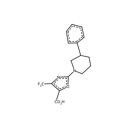 O=C(O)c1oc(N2CCCC(c3ccccc3)C2)nc1C(F)(F)F